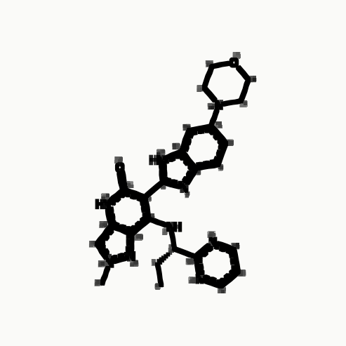 CC[C@H](Nc1c(-c2nc3ccc(N4CCOCC4)cc3[nH]2)c(=O)[nH]c2cn(C)nc12)c1ncccn1